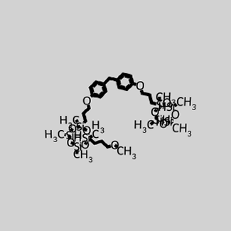 COCCC[Si]1(C)O[SiH](C)O[SiH](C)O[Si](C)(CCCOc2ccc(Cc3ccc(OCCC[Si]4(C)O[SiH](C)O[SiH](C)O[SiH](C)O4)cc3)cc2)O1